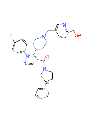 O=C(c1cnn(-c2ccc(F)cc2)c1C1CCN(Cc2ccc(CO)nc2)CC1)N1CC[C@H](c2ccccc2)C1